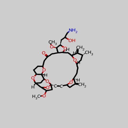 C=C1CC2CC[C@]34CC(OC)C(O3)[C@H]3CC(O4)[C@H]4OC(CCC4O3)CC(=O)CC3[C@H](C[C@H]4O[C@@H](CC[C@@H]1O2)C[C@@H](C)C4=C)O[C@H](CC(O)CN)[C@@H]3OC